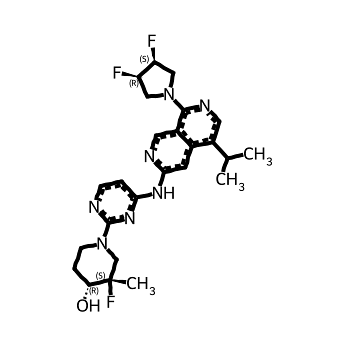 CC(C)c1cnc(N2C[C@@H](F)[C@@H](F)C2)c2cnc(Nc3ccnc(N4CC[C@@H](O)[C@@](C)(F)C4)n3)cc12